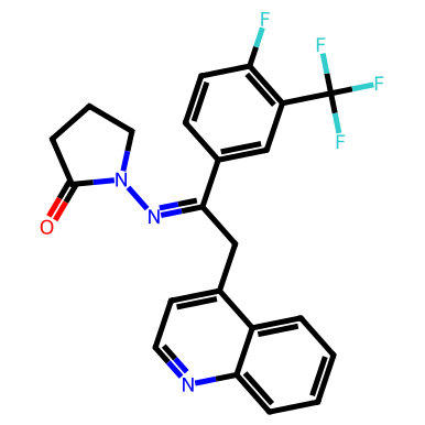 O=C1CCCN1N=C(Cc1ccnc2ccccc12)c1ccc(F)c(C(F)(F)F)c1